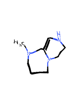 CN1CCCN2CCNC=C12